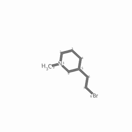 CN1CCCC(CCBr)C1